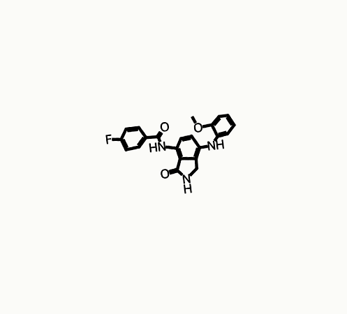 COc1ccccc1Nc1ccc(NC(=O)c2ccc(F)cc2)c2c1CNC2=O